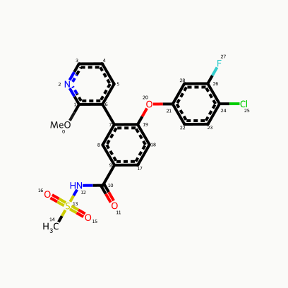 COc1ncccc1-c1cc(C(=O)NS(C)(=O)=O)ccc1Oc1ccc(Cl)c(F)c1